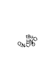 CC(C)(C)c1ccccc1NC(=O)c1ccc(CN2CCOCC2)cc1